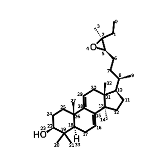 CC[C@]1(C)O[C@@H]1CC[C@@H](C)[C@H]1CC[C@@]2(C)C3=CC[C@H]4C(C)(C)[C@@H](O)CC[C@]4(C)C3=CC[C@]12C